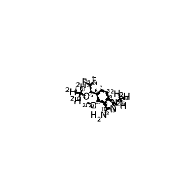 [2H]C([2H])([2H])OC(c1ccc2c(c(N)nn2C([2H])([2H])[2H])c1OC)C(F)F